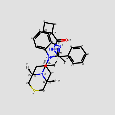 Cc1nc2ccccc2n1[C@@H]1C[C@H]2CSC[C@@H](C1)N2CC[C@H](NC(=O)C1CCC1)c1ccccc1